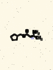 C/C(N)=C/C(=O)OCC1CCCC1